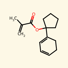 C=C(C)C(=O)OC1(C2=CC=CCC2)CCCC1